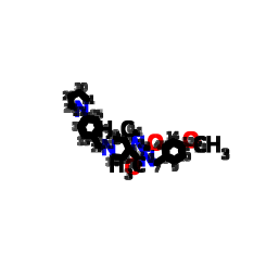 CCN(C(=O)N(C)Cc1ccc(OC)cc1)C1(C=O)CCN(Cc2ccc(N3CCCC3)cc2)CC1